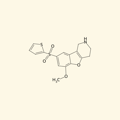 COc1cc(S(=O)(=O)c2cccs2)cc2c3c(oc12)CCNC3